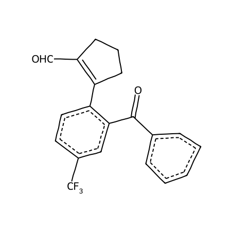 O=CC1=C(c2ccc(C(F)(F)F)cc2C(=O)c2ccccc2)CCC1